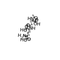 CC(=O)N[C@@H](CCC(=O)NC(CCC[C@H](N)C(=O)O)C(=O)O)C(=O)O